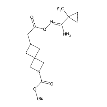 CC(C)(C)OC(=O)N1CC2(CC(CC(=O)O/N=C(\N)C3(C(F)(F)F)CC3)C2)C1